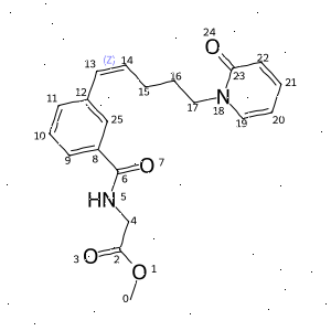 COC(=O)CNC(=O)c1cccc(/C=C\CCCn2ccccc2=O)c1